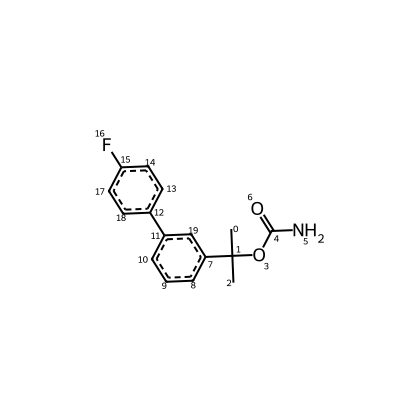 CC(C)(OC(N)=O)c1cccc(-c2ccc(F)cc2)c1